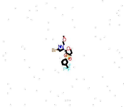 COCCn1nc(Br)cc1[C@H]1C[C@@](C)(S(=O)(=O)c2cccc(C(F)(F)F)c2)CCO1